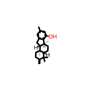 C=C1CC[C@]2(C)[C@H](CC[C@]3(C)c4c(O)cc(C)cc4C[C@@H]23)C1(C)C